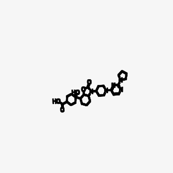 O=C(O)C1CCC(O)(C2CCCC3C2OC(=O)N3C2CCN(c3ccnc(N4CCCC4)n3)CC2)CC1